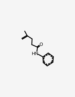 C=C(C)CCC(=O)Nc1ccccc1